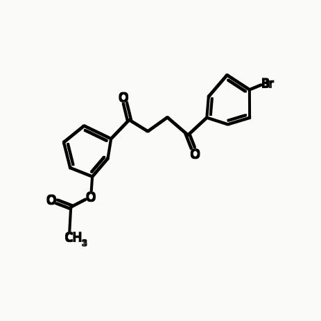 CC(=O)Oc1cccc(C(=O)CCC(=O)c2ccc(Br)cc2)c1